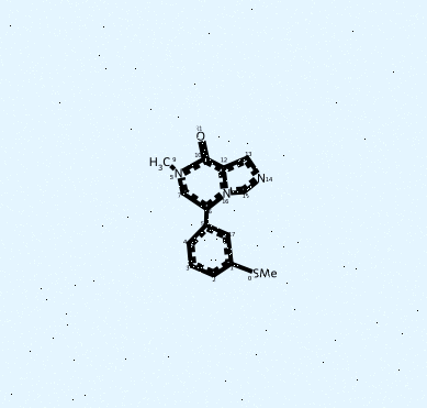 CSc1cccc(-c2cn(C)c(=O)c3cncn23)c1